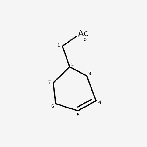 CC(=O)CC1CC=CCC1